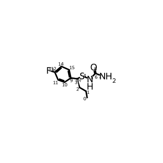 CCC[C@H](SNC(N)=O)c1ccc(F)cc1